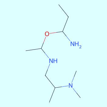 CCC(N)OC(C)NCC(C)N(C)C